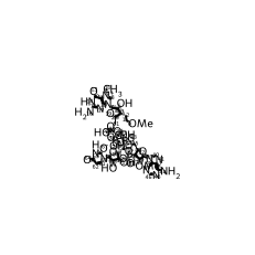 COCC[C@H]1[C@@H](O)[C@H](n2c[n+](C)c3c(=O)[nH]c(N)nc32)O[C@@H]1COP(=O)(O)OP(=O)(O)OP(O)(=S)OC[C@H]1O[C@@H](n2cnc3c(N)ncnc32)[C@H](OC)[C@@H]1P(=O)([O-])OC[C@H]1O[C@@H](n2ccc(=O)[nH]c2=O)[C@H](O)[C@@H]1O